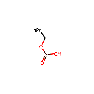 CCCCOS(=O)O